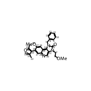 COCCn1c(=O)n(Cc2ccccc2)c2c3cc(OC)c(-c4c(C)noc4C)cc3ncc21